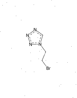 BrCCn1cnnn1